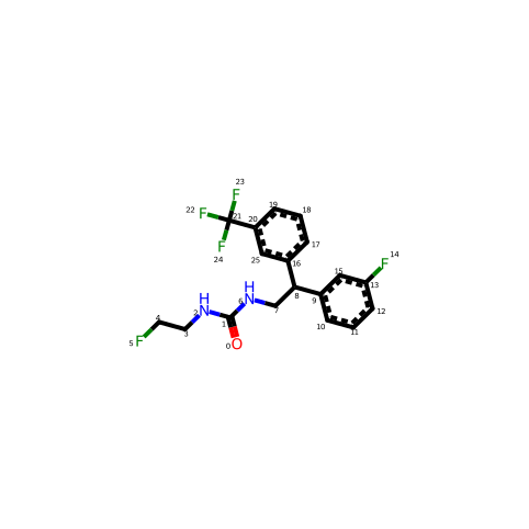 O=C(NCCF)NCC(c1cccc(F)c1)c1cccc(C(F)(F)F)c1